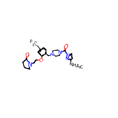 CC(=O)Nc1ccn(C(=O)N2CCN(Cc3ccc(C(F)(F)F)cc3OCCN3CCCC3=O)CC2)n1